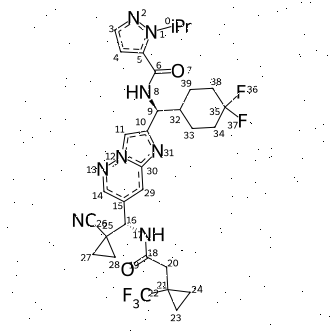 CC(C)n1nccc1C(=O)N[C@H](c1cn2ncc([C@H](NC(=O)CC3(C(F)(F)F)CC3)C3(C#N)CC3)cc2n1)C1CCC(F)(F)CC1